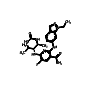 CCn1ncc2ccc(Nc3nc(N[C@H](C(C)C)[C@H](C)NC(=O)O)c(F)cc3C(N)=O)cc21